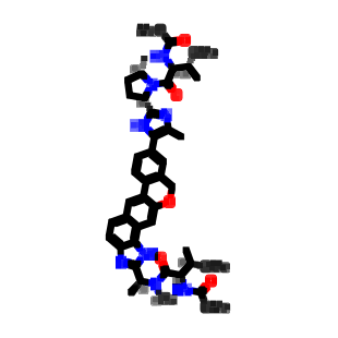 CC[C@H](C)N(C(=O)[C@@H](NC(=O)OC)[C@@H](C)OC)[C@@H](C)c1nc2ccc3cc4c(cc3c2[nH]1)OCc1cc(-c2[nH]c([C@@H]3CC[C@H](C)N3C(=O)[C@@H](NC(=O)OC)[C@@H](C)OC)nc2C)ccc1-4